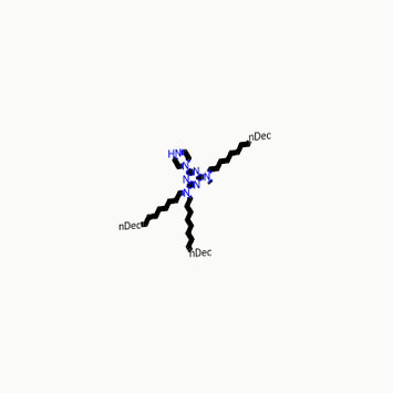 CCCCCCCCCCCCCCCCCCN(C)c1nc(N(CCCCCCCCCCCCCCCCCC)CCCCCCCCCCCCCCCCCC)nc(N2CCNCC2)n1